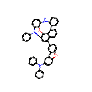 c1ccc(N(c2ccccc2)c2ccc3oc4ccc(-c5cc6c7c8c(cccc58)-c5ccccc5Nc5cccc(c5O7)N6c5ccccc5)cc4c3c2)cc1